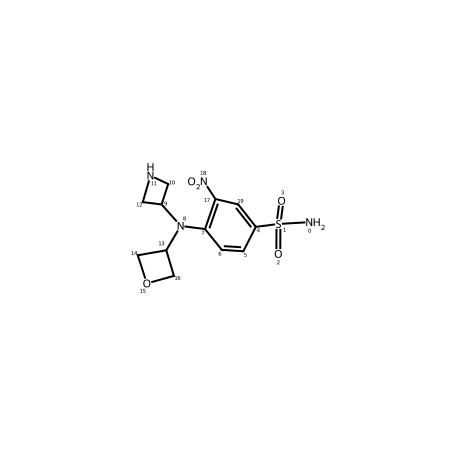 NS(=O)(=O)c1ccc(N(C2CNC2)C2COC2)c([N+](=O)[O-])c1